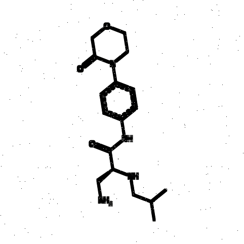 CC(C)CN[C@@H](CN)C(=O)Nc1ccc(N2CCOCC2=O)cc1